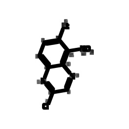 CCc1ccc2nc(Cl)cnc2c1[N+](=O)[O-]